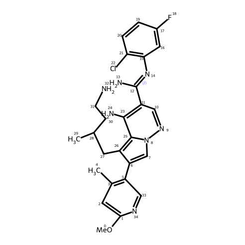 COc1cc(C)c(-c2cn3ncc(/C(N)=N/c4cc(F)ccc4Cl)c(N)c3c2CC(C)CCN)cn1